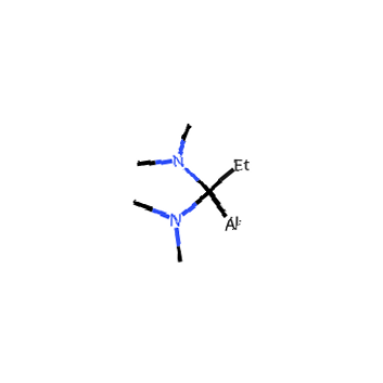 CC[C]([Al])(N(C)C)N(C)C